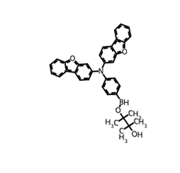 CC(C)(O)C(C)(C)OBc1ccc(N(c2ccc3c(c2)oc2ccccc23)c2ccc3c(c2)oc2ccccc23)cc1